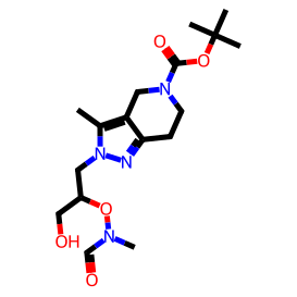 Cc1c2c(nn1CC(CO)ON(C)C=O)CCN(C(=O)OC(C)(C)C)C2